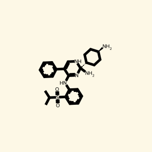 CC(C)S(=O)(=O)c1ccccc1NC1=NC(N)([C@H]2CC[C@H](N)CC2)NC=C1c1ccccc1